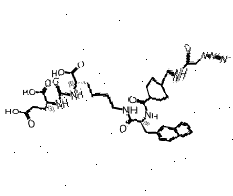 [N-]=[N+]=NCC(=O)NCC1CCC(C(=O)N[C@@H](Cc2ccc3ccccc3c2)C(=O)NCCCC[C@H](NC(=O)N[C@@H](CCC(=O)O)C(=O)O)C(=O)O)CC1